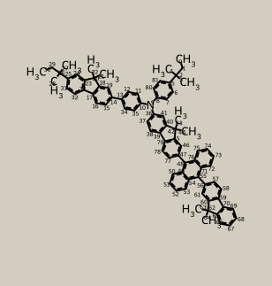 CCC(C)(C)c1ccc(N(c2ccc(-c3ccc4c(c3)C(C)(C)c3cc(C(C)(C)CC)ccc3-4)cc2)c2ccc3c(c2)C(C)(C)c2cc(-c4c5ccccc5c(-c5ccc6c(c5)C(C)(C)c5ccccc5-6)c5ccccc45)ccc2-3)cc1